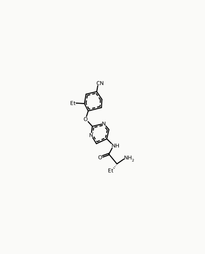 CCc1cc(C#N)ccc1Oc1ncc(NC(=O)[C@H](N)CC)cn1